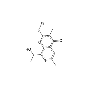 CCSc1oc2c(C(C)O)nc(C)cc2c(=O)c1C